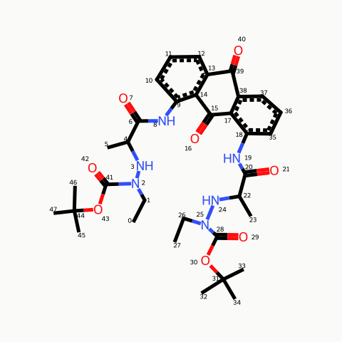 CCN(NC(C)C(=O)Nc1cccc2c1C(=O)c1c(NC(=O)C(C)NN(CC)C(=O)OC(C)(C)C)cccc1C2=O)C(=O)OC(C)(C)C